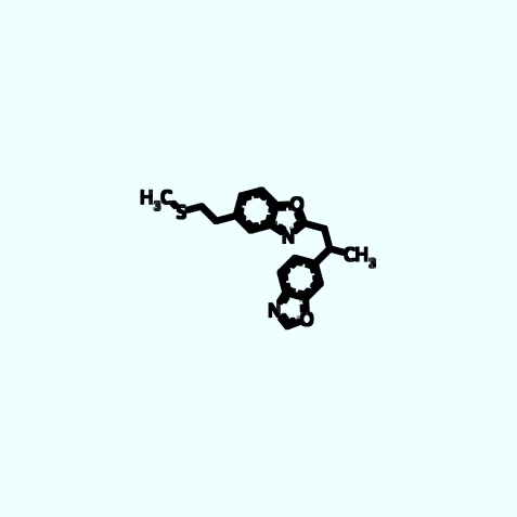 CSCCc1ccc2oc(CC(C)c3ccc4ncoc4c3)nc2c1